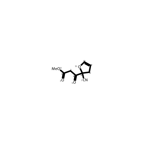 COC(=O)CC(=O)C1(C#N)CC=CO1